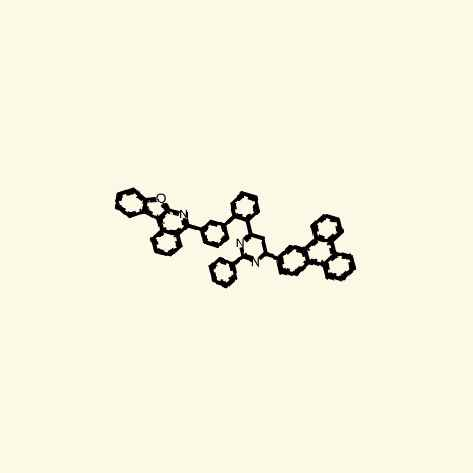 c1ccc(C2=NC(c3ccc4c5ccccc5c5ccccc5c4c3)CC(c3ccccc3-c3cccc(-c4nc5oc6ccccc6c5c5ccccc45)c3)=N2)cc1